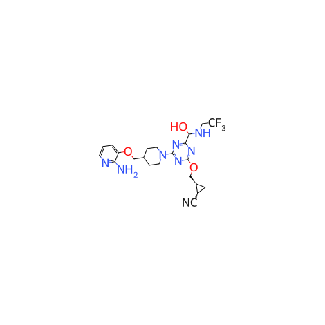 N#C[C@@H]1C[C@@H]1COc1nc(C(O)NCC(F)(F)F)nc(N2CCC(COc3cccnc3N)CC2)n1